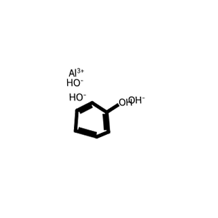 Oc1ccccc1.[Al+3].[OH-].[OH-].[OH-]